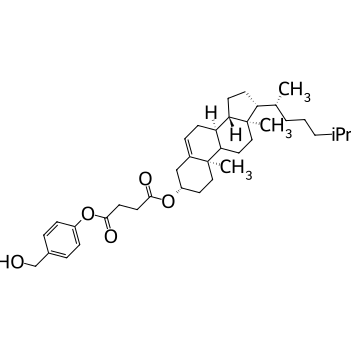 CC(C)CCC[C@@H](C)[C@H]1CC[C@H]2[C@@H]3CC=C4C[C@@H](OC(=O)CCC(=O)Oc5ccc(CO)cc5)CC[C@]4(C)C3CC[C@]12C